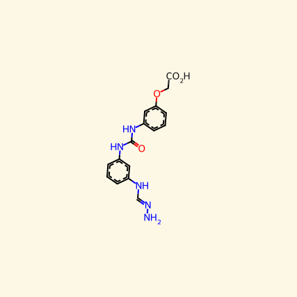 NN=CNc1cccc(NC(=O)Nc2cccc(OCC(=O)O)c2)c1